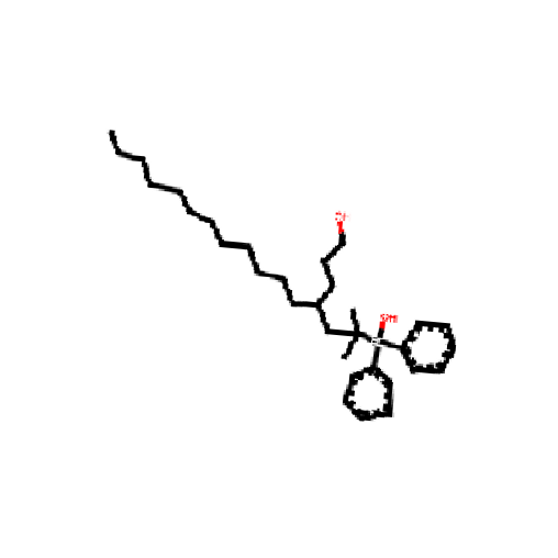 CCCCCCCCCCCCC(CCCO)CC(C)(C)[Si](O)(c1ccccc1)c1ccccc1